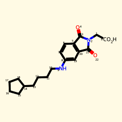 O=C(O)CN1C(=O)c2ccc(NCCCCC3CCCC3)cc2C1=O